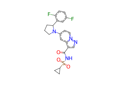 O=C(NS(=O)(=O)C1CC1)c1cnn2ccc(N3CCCC3c3cc(F)ccc3F)cc12